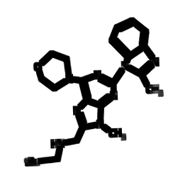 Cc1nc2ccccc2n1-c1nc(N2CCOCC2)c2nc(CNCC(C)(C)C)n(C)c2n1